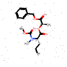 CC(C)CC[C@@H](C(=O)O[C@H](C)C(=O)OCc1ccccc1)N(C)C(=O)OC(C)(C)C